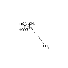 CCCCCCCCCCCC[N+](C)(C)C1CCN[C@@H]1C(=O)O